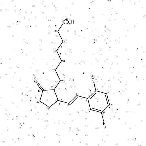 Cc1ccc(F)cc1/C=C/C1CCC(=O)C1CCCCCCC(=O)O